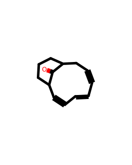 O=C1C2C#C/C=C/C#CCC1CCC2